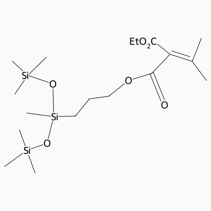 CCOC(=O)C(C(=O)OCCC[Si](C)(O[Si](C)(C)C)O[Si](C)(C)C)=C(C)C